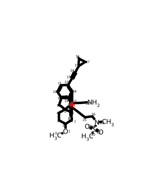 COC1CCC2(CC1)Cc1ccc(C#CC3CC3)cc1C21N=C(N)N(CCN(C)S(C)(=O)=O)C1=O